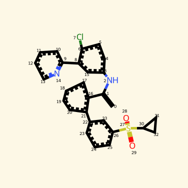 C=C(Nc1ccc(Cl)c(-c2ccccn2)c1)c1ccccc1-c1cccc(S(=O)(=O)C2CC2)c1